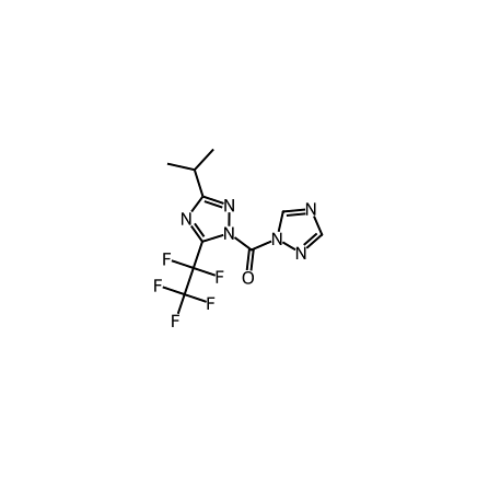 CC(C)c1nc(C(F)(F)C(F)(F)F)n(C(=O)n2cncn2)n1